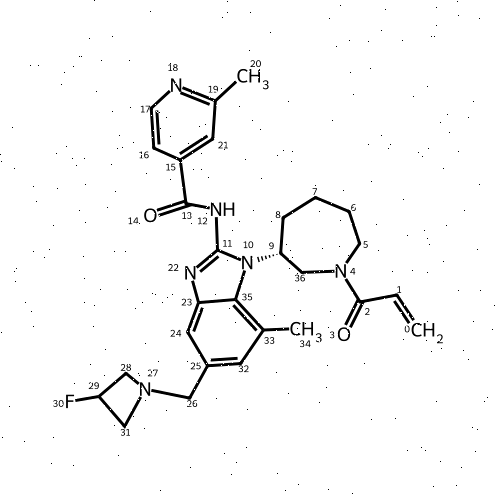 C=CC(=O)N1CCCC[C@@H](n2c(NC(=O)c3ccnc(C)c3)nc3cc(CN4CC(F)C4)cc(C)c32)C1